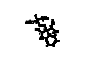 CCN(CC)[Si](C=C[Si](C)(OC)OC)(c1ccccc1)N(CC)CC